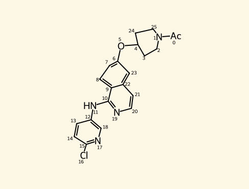 CC(=O)N1CCC(Oc2ccc3c(Nc4ccc(Cl)nc4)nccc3c2)CC1